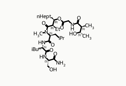 CCCCCCC[C@@H](OC(=O)CNC(=O)[C@@H](C)[C@H](C)O)[C@@H](CC)C(=O)N(C)[C@@H](CC(C)C)C(=O)N[C@H](C(=O)N[C@@H](CO)C(N)=O)[C@H](C)CC